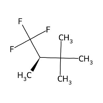 C[C@H](C(C)(C)C)C(F)(F)F